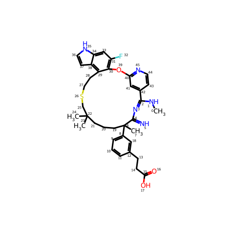 CN/C1=N\C(=N)C(C)(c2cccc(CCC(=O)O)c2)CCCC(C)(C)CSCCc2c(c(F)cc3[nH]ccc23)Oc2cc1ccn2